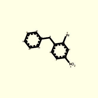 CC(C)c1cc([N+](=O)[O-])ccc1Cc1ccccc1